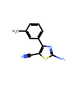 Cc1cccc(-c2nc(N)sc2C#N)c1